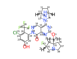 [2H]C([2H])(Oc1nc(N2C[C@H]3CC[C@@H](C2)N3)c2cnn(-c3cc(O)cc(Cl)c3C(F)(F)F)c(=O)c2n1)[C@@]12CCCN1C[C@]([2H])(F)C2